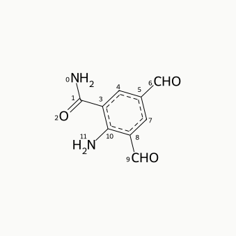 NC(=O)c1cc(C=O)cc(C=O)c1N